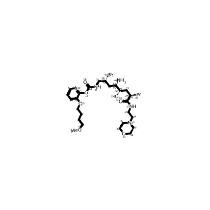 COCCCCOc1cccnc1OC(=O)NC[C@@H](C[C@H](N)[C@@H](O)C[C@H](C(=O)NCCN1CCOCC1)C(C)C)C(C)C